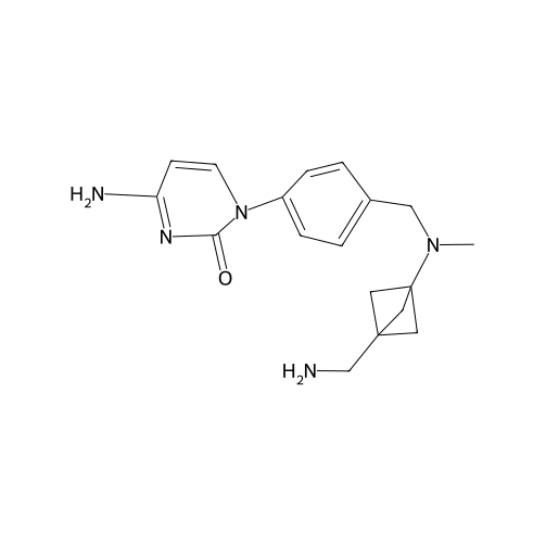 CN(Cc1ccc(-n2ccc(N)nc2=O)cc1)C12CC(CN)(C1)C2